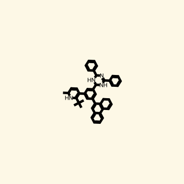 CC1C=CC(c2cc(-c3cc4ccccc4c4c3CCC=C4)cc(C3NC(c4ccccc4)=NC(c4ccccc4)N3)c2)=C(C(C)(C)C)N1